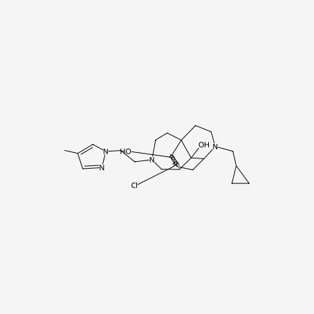 Cc1cnn(CCN2CCC34CCN(CC5CC5)C(Cc5cc(Cl)c(O)cc53)C4(O)CC2)c1